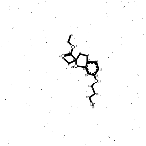 CCOC(=O)C1(CC)CCc2ccc(OCCCBr)cc2O1